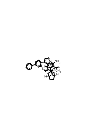 CC(=O)c1c(C2C[C@H]3CC[C@@H](C2)N3C(=O)c2cn[nH]c2N)nc2c(-c3ccc(-c4ccccc4)nc3)cnn2c1N